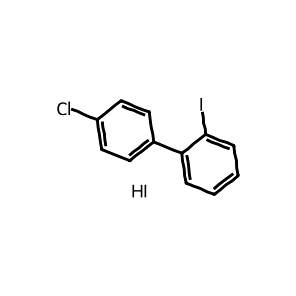 Clc1ccc(-c2ccccc2I)cc1.I